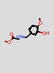 COC(=O)CNCc1ccc(OC)c(O)c1